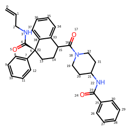 C=CCNC(=O)[C@]1(c2ccccc2)CCC(C(=O)N2CCC(NC(=O)c3ccccc3)CC2)c2ccccc21